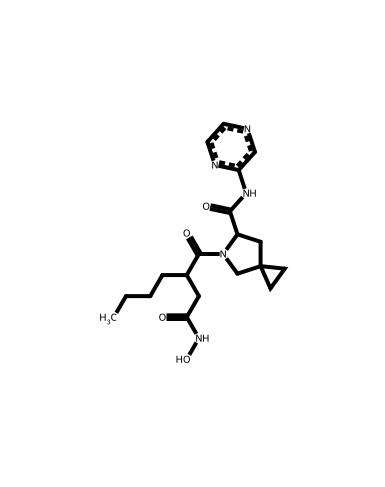 CCCCC(CC(=O)NO)C(=O)N1CC2(CC2)CC1C(=O)Nc1cnccn1